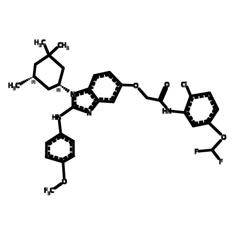 C[C@H]1C[C@@H](n2c(Nc3ccc(OC(F)(F)F)cc3)nc3cc(OCC(=O)Nc4cc(OC(F)F)ccc4Cl)ccc32)CC(C)(C)C1